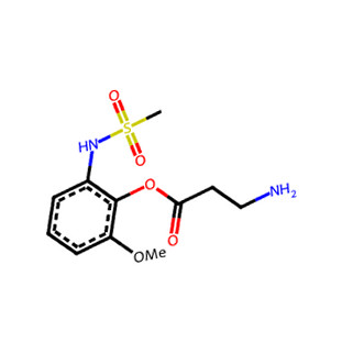 COc1cccc(NS(C)(=O)=O)c1OC(=O)CCN